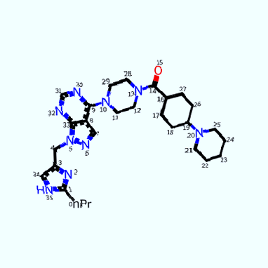 CCCc1nc(Cn2ncc3c(N4CCN(C(=O)C5CCC(N6CCCCC6)CC5)CC4)ncnc32)c[nH]1